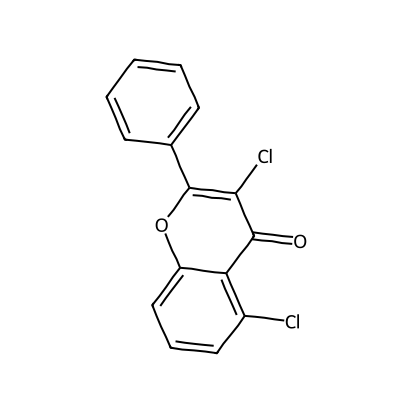 O=c1c(Cl)c(-c2ccccc2)oc2cccc(Cl)c12